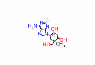 C[C@]1(CO)CC(n2cnc3c(N)nc(Cl)nc32)[C@@H](O)C[C@H]1O